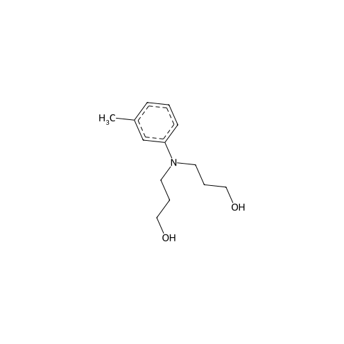 Cc1cccc(N(CCCO)CCCO)c1